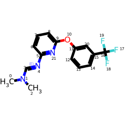 CN(C)/C=N/c1cccc(Oc2cccc(C(F)(F)F)c2)n1